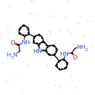 NCC(=O)Nc1ccccc1-c1ccc2c(c1)[nH]c1cc(-c3ccccc3NC(=O)CN)ccc12